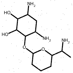 CC(N)C1CCCC(OC2C(N)CC(N)C(O)C2O)O1